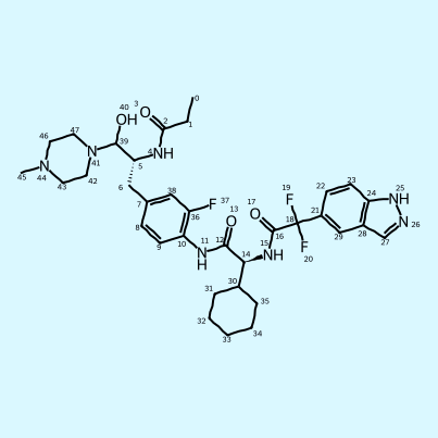 CCC(=O)N[C@H](Cc1ccc(NC(=O)[C@@H](NC(=O)C(F)(F)c2ccc3[nH]ncc3c2)C2CCCCC2)c(F)c1)C(O)N1CCN(C)CC1